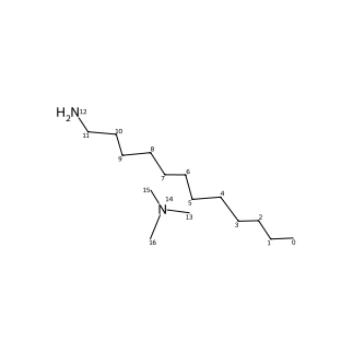 CCCCCCCCCCCCN.CN(C)C